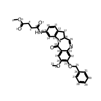 COC(=O)CCC(=O)Nc1ccc2c(c1)N1C(=O)c3cc(OC)c(OCc4ccccc4)cc3N=CC1C2